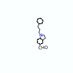 O=Cc1ccc2c(c1)CCN2CCCc1ccccc1